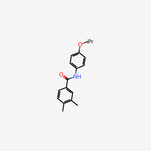 Cc1ccc(C(=O)Nc2ccc(OC(C)C)cc2)cc1C